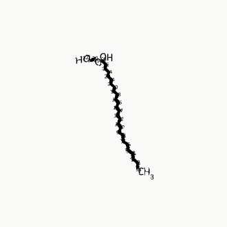 CCCCCCCCCCCCCCCCCCCCCCCCCCCC(O)OCCO